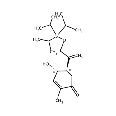 C=C(CO[Si](C(C)C)(C(C)C)C(C)C)[C@H]1CC(=O)C(C)=C[C@@H]1O